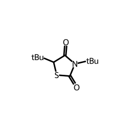 CC(C)(C)C1SC(=O)N(C(C)(C)C)C1=O